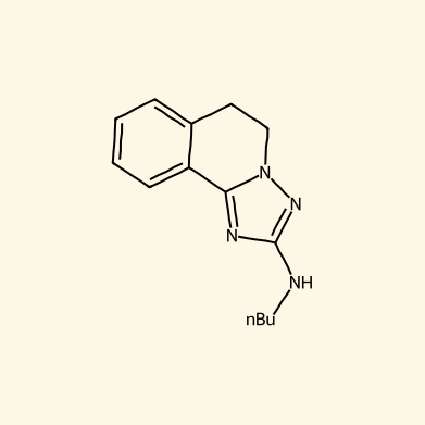 CCCCNc1nc2n(n1)CCc1ccccc1-2